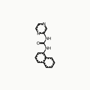 O=C(Nc1cnccn1)Nc1cccc2ccccc12